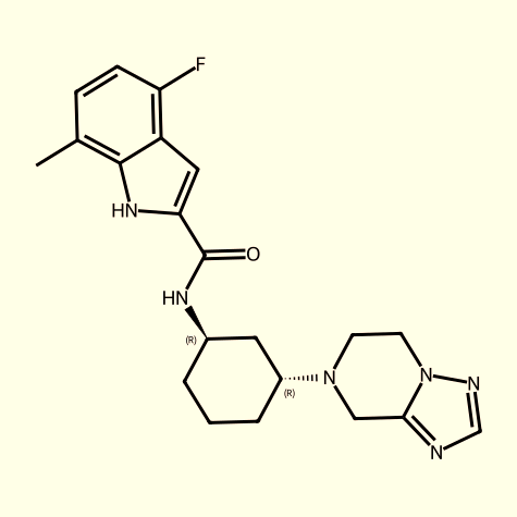 Cc1ccc(F)c2cc(C(=O)N[C@@H]3CCC[C@@H](N4CCn5ncnc5C4)C3)[nH]c12